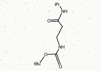 CC(C)NC(=O)CCNC(=O)OC(C)(C)C